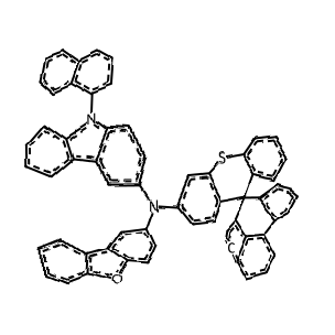 c1ccc2c(c1)Sc1cc(N(c3ccc4oc5ccccc5c4c3)c3ccc4c(c3)c3ccccc3n4-c3cccc4ccccc34)ccc1C21c2ccccc2-c2cccc3cccc1c23